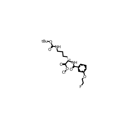 CC(C)(C)OC(=O)NCCCC[C@H](NC(=O)c1cccc(OCCF)c1)C(=O)OCl